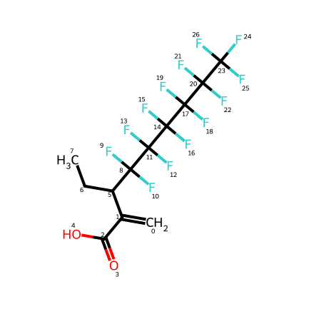 C=C(C(=O)O)C(CC)C(F)(F)C(F)(F)C(F)(F)C(F)(F)C(F)(F)C(F)(F)F